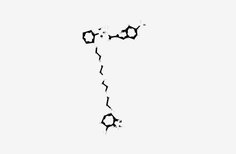 CN(C)c1ccc2cc(C(=O)NS(=O)(=O)c3ccccc3OCCOCCOCCOCCNc3ccc([N+](=O)[O-])c4nonc34)oc2c1